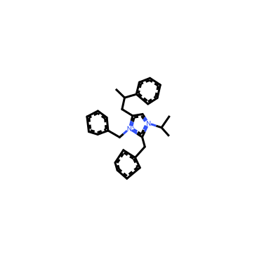 CC(Cc1cn(C(C)C)c(Cc2ccccc2)[n+]1Cc1ccccc1)c1ccccc1